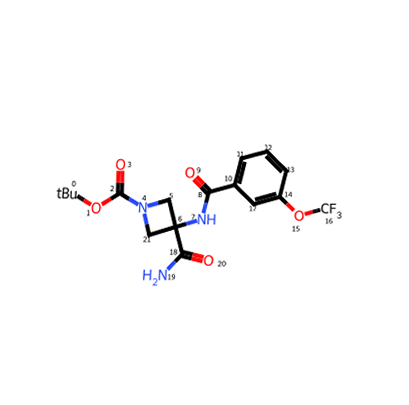 CC(C)(C)OC(=O)N1CC(NC(=O)c2cccc(OC(F)(F)F)c2)(C(N)=O)C1